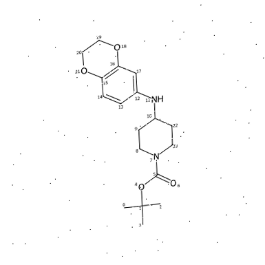 CC(C)(C)OC(=O)N1CCC(Nc2ccc3c(c2)OCCO3)CC1